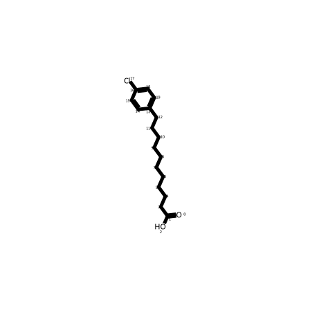 O=C(O)CCCCCCCCCCc1ccc(Cl)cc1